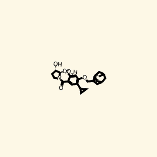 O=C(O)[C@@H]1[C@@H](O)CCN1C(=O)c1cc(C2CC2)c(OCC23CC4CC(CC2C4)C3)cc1F